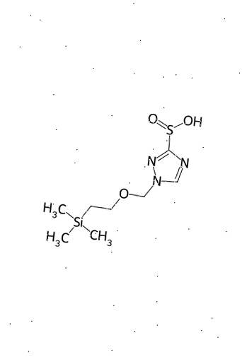 C[Si](C)(C)CCOCn1cnc(S(=O)O)n1